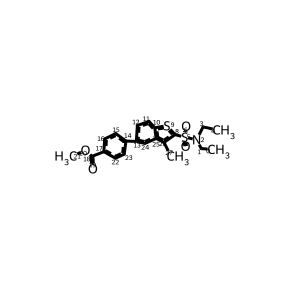 CCN(CC)S(=O)(=O)c1sc2ccc(-c3ccc(C(=O)OC)cc3)cc2c1C